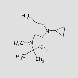 CCCN(CCN(C)C(C)(C)C)C1CC1